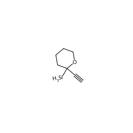 C#CC1([SiH3])CCCCO1